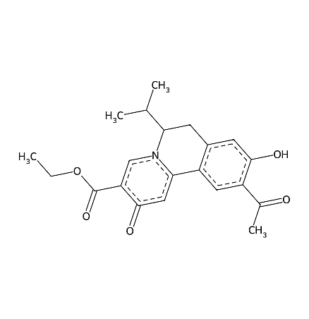 CCOC(=O)c1cn2c(cc1=O)-c1cc(C(C)=O)c(O)cc1CC2C(C)C